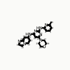 Cc1cccc(Nc2nc(Nc3ccn4ccnc4c3)cc(N3CCOCC3)n2)n1